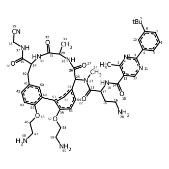 Cc1nc(-c2cccc(C(C)(C)C)c2)ncc1C(=O)NC(CCN)C(=O)N(C)C1C(=O)NC(C)C(=O)NC(C(=O)NCC#N)Cc2ccc(OCCN)c(c2)-c2cc1ccc2OCCN